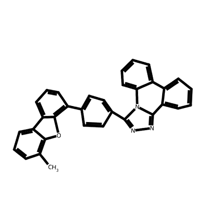 Cc1cccc2c1oc1c(-c3ccc(-c4nnc5c6ccccc6c6ccccc6n45)cc3)cccc12